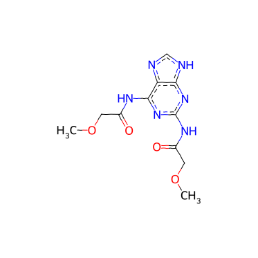 COCC(=O)Nc1nc(NC(=O)COC)c2nc[nH]c2n1